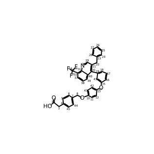 O=C(O)Cc1ccc(COc2ccc(Oc3cccc(-c4c(Cc5ccccc5)cnc5c(C(F)(F)F)cccc45)c3)cc2)cc1